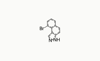 Brc1cccc2ccc3[nH]ncc3c12